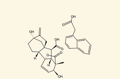 C=C1C[C@]23C[C@@]1(O)CC[C@H]2[C@@]12C=C[C@H](O)[C@@](C)(C(=O)O1)[C@H]2[C@@H]3C(=O)O.O=C(O)Cc1cccc2ccccc12